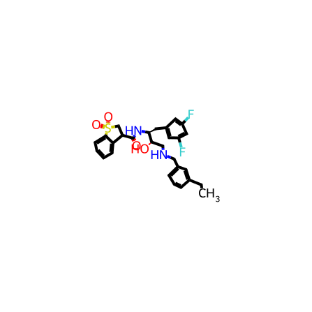 CCc1cccc(CNC[C@H](O)[C@H](Cc2cc(F)cc(F)c2)NC(=O)C2CS(=O)(=O)c3ccccc32)c1